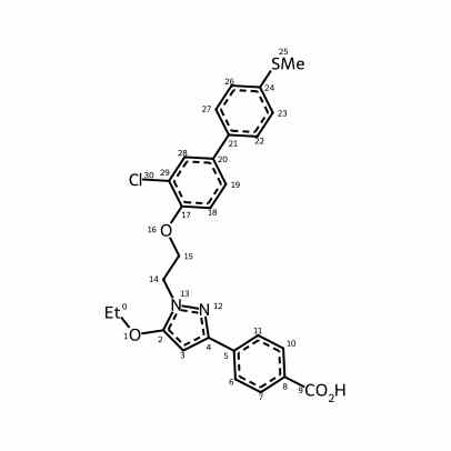 CCOc1cc(-c2ccc(C(=O)O)cc2)nn1CCOc1ccc(-c2ccc(SC)cc2)cc1Cl